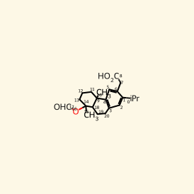 CC(C)c1cc2c(cc1CC(=O)O)C1(C)CCCC(C)(OC=O)C1CC2